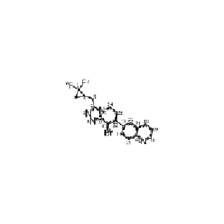 FC1(F)CC1Cc1nnc2c(Br)c(-c3ccc4ncccc4c3)ccn12